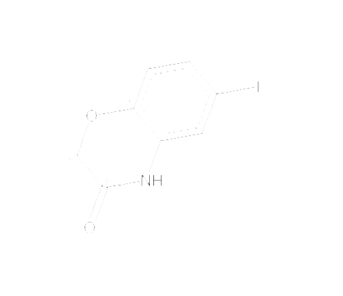 O=C1COc2ccc(I)cc2N1